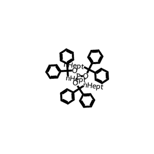 CCCCCCCC(OP(OC(CCCCCCC)(c1ccccc1)c1ccccc1)OC(CCCCCCC)(c1ccccc1)c1ccccc1)(c1ccccc1)c1ccccc1